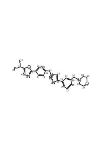 FC(F)c1nnc(-c2ccc(Cn3cc(-c4cccc(CN5CCOCC5)c4)nn3)nc2)o1